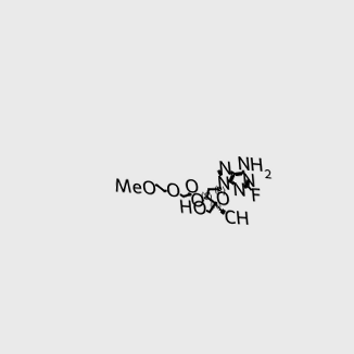 C#C[C@]1(CO)O[C@@H](n2cnc3c(N)nc(F)nc32)C[C@@H]1OC(=O)COCCOC